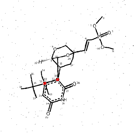 COP(=O)(/C=C/C12CO[C@H](C(O[Si](C)(C)C(C)(C)C)C1)C(n1ccc(=O)[nH]c1=O)O2)OC